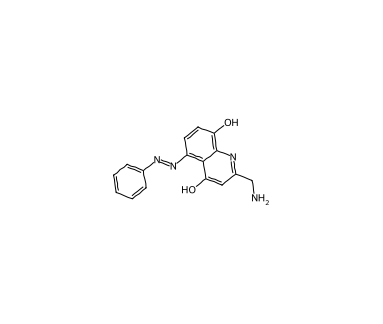 NCc1cc(O)c2c(/N=N/c3ccccc3)ccc(O)c2n1